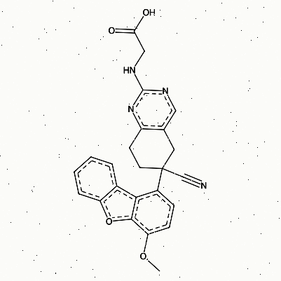 COc1ccc(C2(C#N)CCc3nc(NCC(=O)O)ncc3C2)c2c1oc1ccccc12